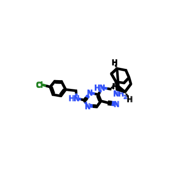 N#Cc1cnc(NCc2ccc(Cl)cc2)nc1NC[C@@]12CC3C[C@H](C1)[C@@H](N)[C@@H](C3)C2